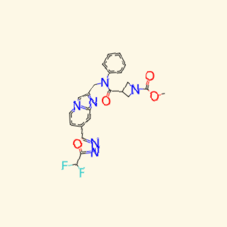 COC(=O)N1CC(C(=O)N(Cc2cn3ccc(-c4nnc(C(F)F)o4)cc3n2)c2ccccc2)C1